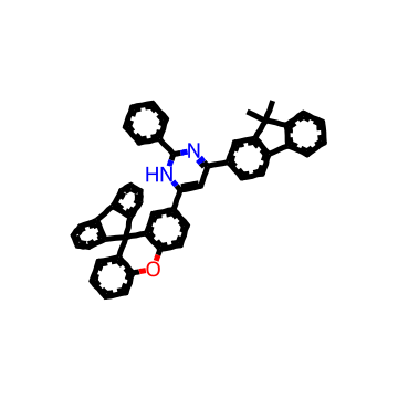 CC1(C)c2ccccc2-c2ccc(C3=NC(c4ccccc4)NC(c4ccc5c(c4)C4(c6ccccc6O5)c5ccccc5-c5ccccc54)=C3)cc21